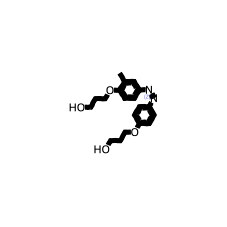 Cc1cc(/N=N\c2ccc(OCCCO)cc2)ccc1OCCCO